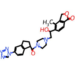 Cc1c(C(O)CN2CCN(C(=O)C3CCc4cc(-n5cnnn5)ccc43)CC2)ccc2c1COC2=O